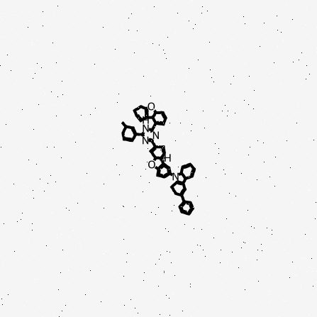 CC1C=C(C2N=C(C3=CC4Oc5ccc(N6C7=C(C=C(c8ccccc8)CC7)C7C=CC=CC76)cc5[C@@H]4C=C3)N=C(C3=CC=CC4OC5=C(C=CCC5)C34)N2)C=CC1